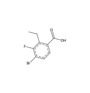 CCc1c(C(=O)O)ccc(Br)c1F